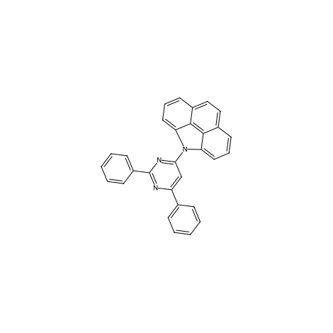 c1ccc(-c2cc(-n3c4cccc5ccc6cccc3c6c54)nc(-c3ccccc3)n2)cc1